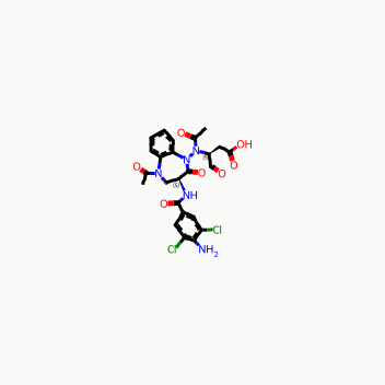 CC(=O)N1C[C@H](NC(=O)c2cc(Cl)c(N)c(Cl)c2)C(=O)N(N(C(C)=O)[C@H](C=O)CC(=O)O)c2ccccc21